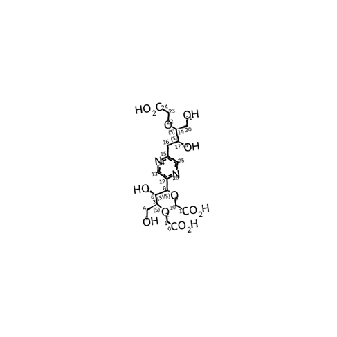 O=C(O)CO[C@@H](CO)[C@@H](O)[C@@H](OCC(=O)O)c1cnc(C[C@H](O)[C@H](CO)OCC(=O)O)cn1